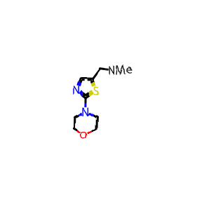 CNCc1cnc(N2CCOCC2)s1